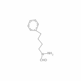 NN([C]=O)CCCCc1ccccc1